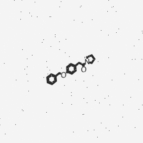 O=C(Cc1ccc(OCc2ccccc2)cc1)N1[CH]CCC1